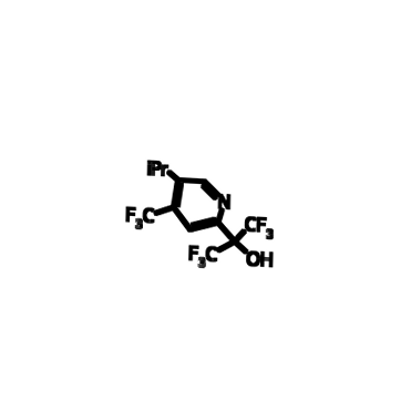 CC(C)c1cnc(C(O)(C(F)(F)F)C(F)(F)F)cc1C(F)(F)F